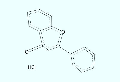 Cl.O=c1cc(-c2ccccc2)oc2ccccc12